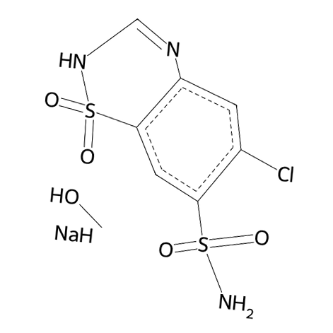 CO.NS(=O)(=O)c1cc2c(cc1Cl)N=CNS2(=O)=O.[NaH]